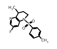 Cc1ccc(S(=O)(=O)N2CCC(C)c3ncc(F)cc32)cc1